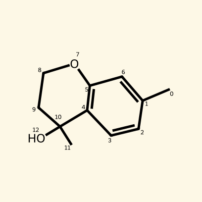 Cc1ccc2c(c1)OCCC2(C)O